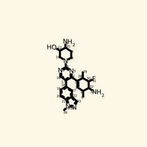 CC1C=C(c2nc(N3CCC(N)C(O)C3)ncc2-c2ccc3c(cnn3C)c2)C(C)C(F)C1N